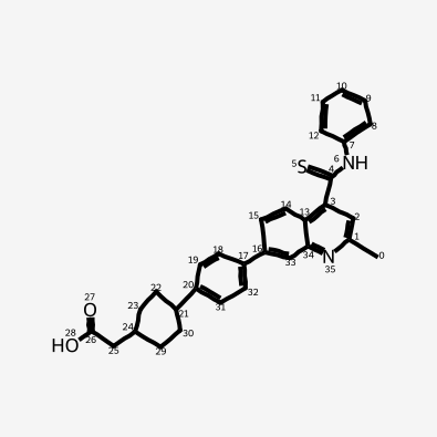 Cc1cc(C(=S)Nc2ccccc2)c2ccc(-c3ccc(C4CCC(CC(=O)O)CC4)cc3)cc2n1